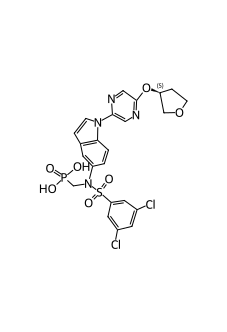 O=P(O)(O)CN(c1ccc2c(ccn2-c2cnc(O[C@H]3CCOC3)cn2)c1)S(=O)(=O)c1cc(Cl)cc(Cl)c1